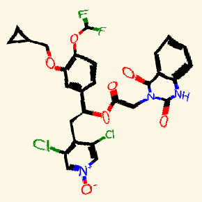 O=C(Cn1c(=O)[nH]c2ccccc2c1=O)O[C@@H](Cc1c(Cl)c[n+]([O-])cc1Cl)c1ccc(OC(F)F)c(OCC2CC2)c1